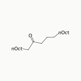 CCCCCCCCCCCC(=O)CCCCCCCCC